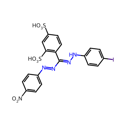 O=[N+]([O-])c1ccc(/N=N/C(=N/Nc2ccc(I)cc2)c2ccc(S(=O)(=O)O)cc2S(=O)(=O)O)cc1